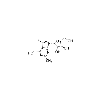 Cc1nc(CO)c2c(I)cn([C@@H]3O[C@H](CO)[C@@H](O)[C@H]3O)c2n1